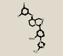 COc1cc(C2=NOCC3/C(=N/c4cc(F)cc(F)c4)CCCN23)ccc1-n1cnc(C)c1